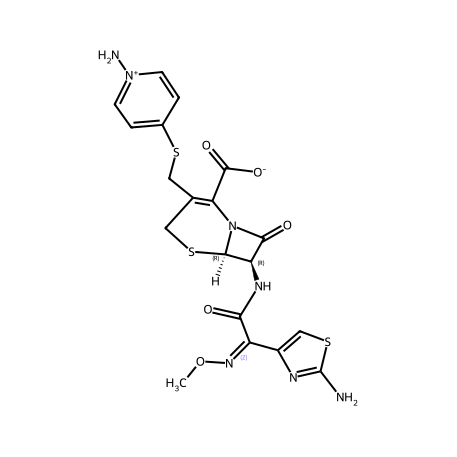 CO/N=C(\C(=O)N[C@@H]1C(=O)N2C(C(=O)[O-])=C(CSc3cc[n+](N)cc3)CS[C@H]12)c1csc(N)n1